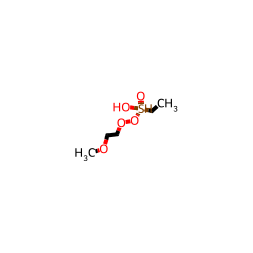 CC[SH](=O)(O)OOCCOC